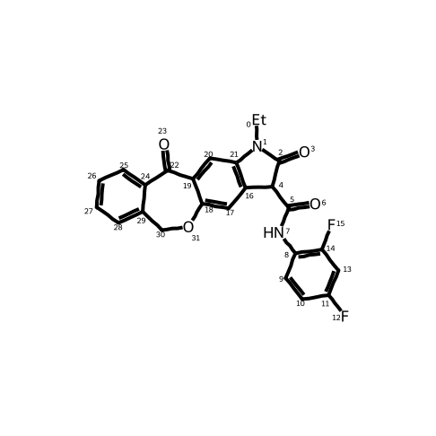 CCN1C(=O)C(C(=O)Nc2ccc(F)cc2F)c2cc3c(cc21)C(=O)c1ccccc1CO3